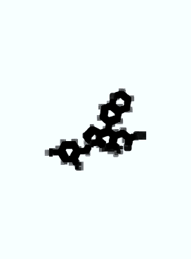 Cc1nc2c(ccn2Cc2ccc(F)cc2Cl)c(-c2ccc3c(c2)CCCO3)c1CC(=O)O